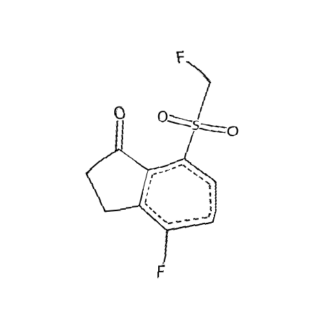 O=C1CCc2c(F)ccc(S(=O)(=O)CF)c21